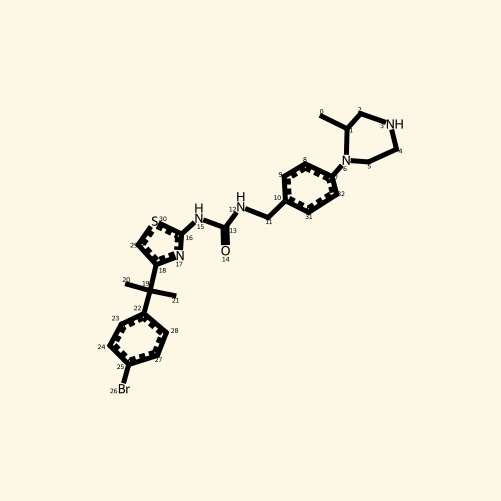 CC1CNCCN1c1ccc(CNC(=O)Nc2nc(C(C)(C)c3ccc(Br)cc3)cs2)cc1